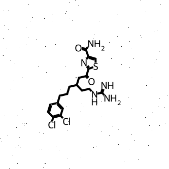 N=C(N)NCCC([CH]C(=O)c1nc(C(N)=O)cs1)CCCc1ccc(Cl)c(Cl)c1